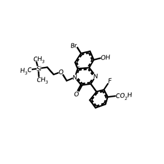 C[Si](C)(C)CCOCn1c(=O)c(-c2cccc(C(=O)O)c2F)nc2c(O)cc(Br)cc21